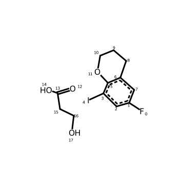 Fc1cc(I)c2c(c1)CCCO2.O=C(O)CCO